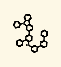 c1ccc(-c2cccc(-c3cccc(Nc4ccc(-c5ccc6c7ccccc7n(-c7ccccc7)c6c5)cc4-c4ccccc4)c3)n2)cc1